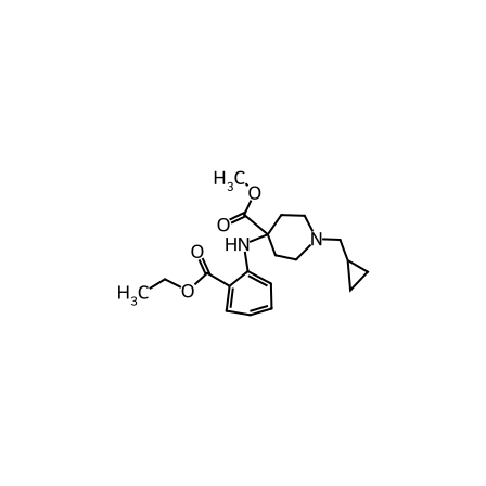 CCOC(=O)c1ccccc1NC1(C(=O)OC)CCN(CC2CC2)CC1